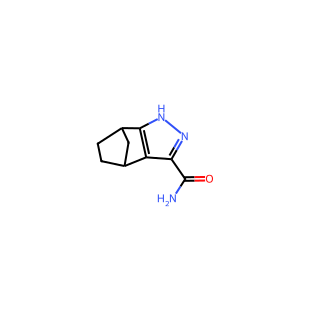 NC(=O)c1n[nH]c2c1C1CCC2C1